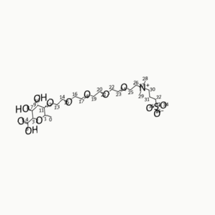 CC1OC(C(=O)O)[C@@H](O)[C@H](O)[C@H]1OCCOCCOCCOCCOCC[N+](C)(C)CCCS(=O)(=O)[O-]